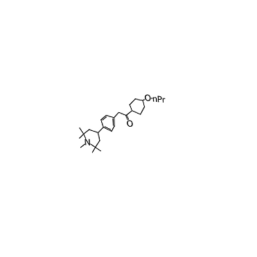 CCCOC1CCC(C(=O)Cc2ccc(C3CC(C)(C)N(C)C(C)(C)C3)cc2)CC1